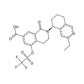 CCc1cc2c(cn1)CCC[C@@H]2N1CCc2c(OS(=O)(=O)C(F)(F)F)cc(C(=O)O)cc2C1=O